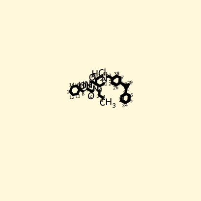 CCCCN1C(=O)[C@@H](CC2(O)CCCCC2)NC(=O)C12CCN(Cc1ccc(C3CC3c3ccccc3)cc1)CC2.Cl